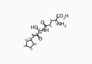 NC(CCC(=O)N[C@H](O)C(=O)SC1CCCC1)C(=O)O